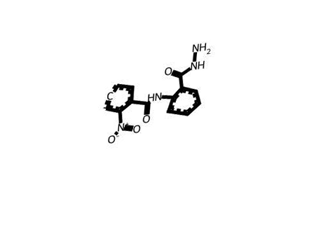 NNC(=O)c1ccccc1NC(=O)c1ccccc1[N+](=O)[O-]